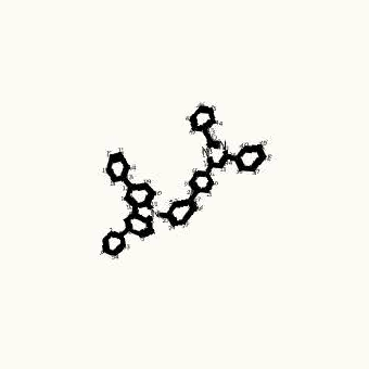 c1ccc(-c2ccc3c(c2)c2cc(-c4ccccc4)ccc2n3-c2cccc(-c3ccc(-c4cc(-c5ccccc5)nc(-c5ccccc5)n4)cc3)c2)cc1